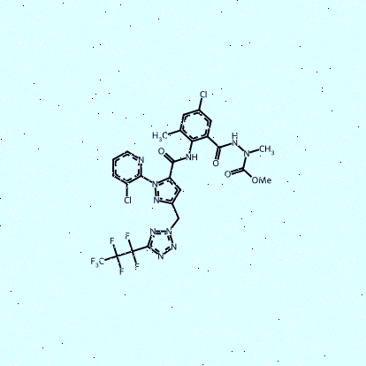 COC(=O)N(C)NC(=O)c1cc(Cl)cc(C)c1NC(=O)c1cc(Cn2nnc(C(F)(F)C(F)(F)C(F)(F)F)n2)nn1-c1ncccc1Cl